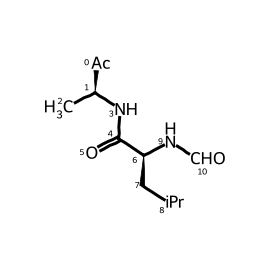 CC(=O)[C@H](C)NC(=O)[C@H](CC(C)C)NC=O